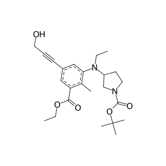 CCOC(=O)c1cc(C#CCO)cc(N(CC)C2CCN(C(=O)OC(C)(C)C)C2)c1C